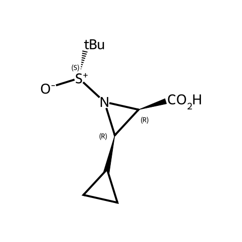 CC(C)(C)[S@@+]([O-])N1[C@H](C2CC2)[C@@H]1C(=O)O